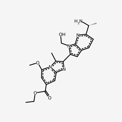 CCOC(=O)c1cc(OC)n2c(C)c(-c3cc4ccc([C@@H](C)N)nc4n3CO)nc2c1